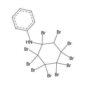 BrC1C(Br)(Br)C(Br)(Br)C(Br)(Br)C(Br)(Br)C1(Br)Nc1ccccc1